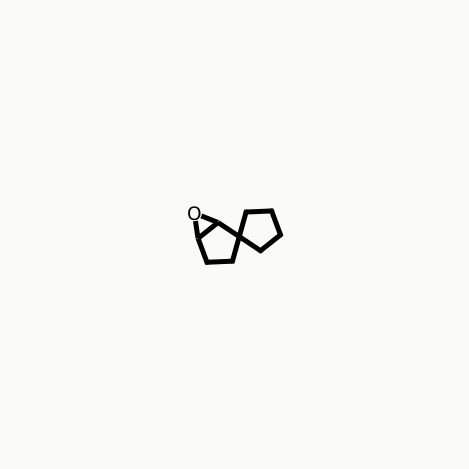 C1CCC2(C1)CCC1OC12